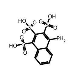 O=S(=O)(O)c1c(S(=O)(=O)O)c(S(=O)(=O)O)c2ccccc2c1P